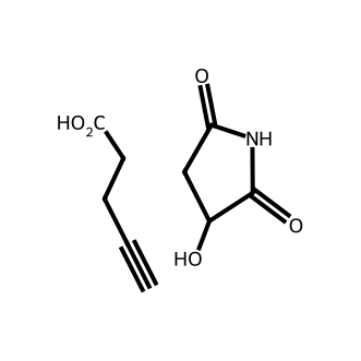 C#CCCC(=O)O.O=C1CC(O)C(=O)N1